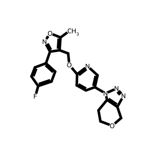 Cc1onc(-c2ccc(F)cc2)c1COc1ccc(-n2nnc3c2CCOC3)cn1